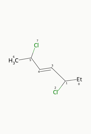 CCC(Cl)C=CC(C)Cl